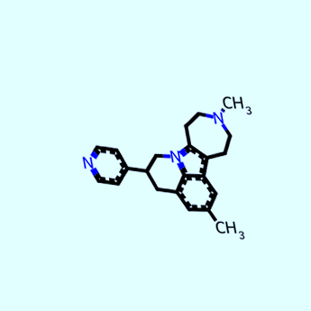 Cc1cc2c3c(c1)c1c(n3CC(c3ccncc3)C2)CCN(C)CC1